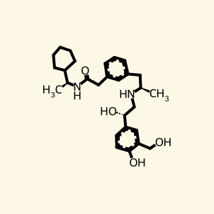 C[C@H](Cc1cccc(CC(=O)N[C@@H](C)C2CCCCC2)c1)NC[C@@H](O)c1ccc(O)c(CO)c1